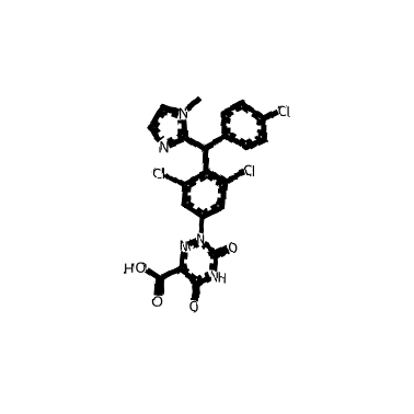 Cn1ccnc1C(c1ccc(Cl)cc1)c1c(Cl)cc(-n2nc(C(=O)O)c(=O)[nH]c2=O)cc1Cl